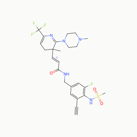 C#Cc1cc(CNC(=O)/C=C/C2(C)CC=C(C(F)(F)F)N=C2N2CCN(C)CC2)cc(F)c1NS(C)(=O)=O